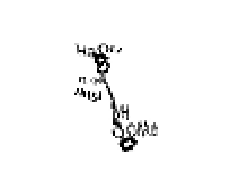 CCCN(CCCCCCNCCOc1ccccc1OC)[C@@H]1CCc2cc(O)c(O)cc2C1.Cl.Cl